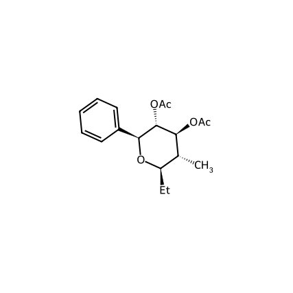 CC[C@H]1O[C@@H](c2ccccc2)[C@H](OC(C)=O)[C@@H](OC(C)=O)[C@@H]1C